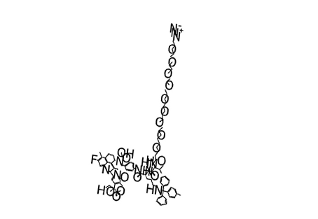 CC[C@@]1(O)C(=O)OCc2c1cc1n(c2=O)Cc2c-1nc1cc(F)c(C)c3c1c2[C@@H](N(Cc1ccc(NC(=O)[C@H](CCCCNC(c2ccccc2)(c2ccccc2)c2ccc(C)cc2)NC(=O)[C@@H](NC(=O)CCOCCOCCOCCOCCOCCOCCOCCOCCOCCN=[N+]=[N-])C(C)C)cc1)C(=O)O)CC3